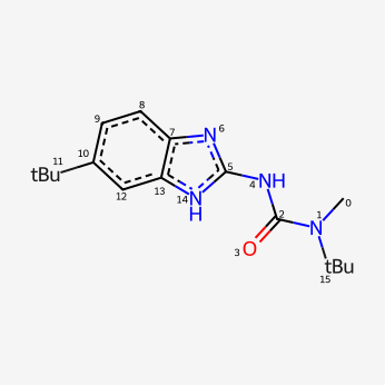 CN(C(=O)Nc1nc2ccc(C(C)(C)C)cc2[nH]1)C(C)(C)C